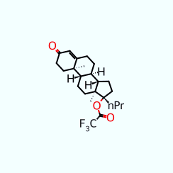 CCC[C@]1(OC(=O)C(F)(F)F)CC[C@H]2[C@@H]3CCC4=CC(=O)CC[C@]4(C)[C@H]3CC[C@@]21C